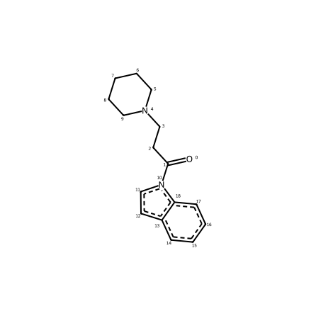 O=C(CCN1CCCCC1)n1ccc2ccccc21